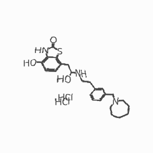 Cl.Cl.O=c1[nH]c2c(O)ccc(CC(O)NCCc3cccc(CN4CCCCCC4)c3)c2s1